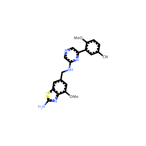 COc1ccc(C#N)cc1-c1cncc(NCc2cc(OC)c3nc(N)sc3c2)n1